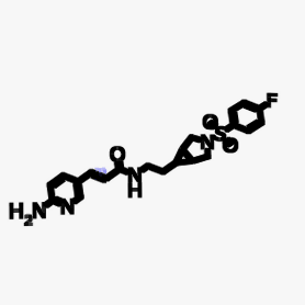 Nc1ccc(/C=C/C(=O)NCCC2C3CN(S(=O)(=O)c4ccc(F)cc4)CC23)cn1